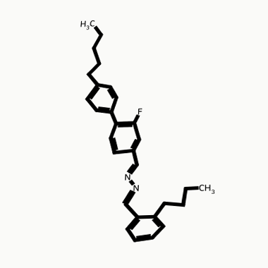 CCCCCc1ccc(-c2ccc(C=NN=Cc3ccccc3CCCC)cc2F)cc1